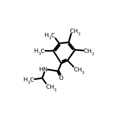 Cc1c(C)c(C)c(C(=O)NC(C)C)c(C)c1C